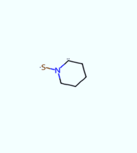 [S]N1[C]CCCC1